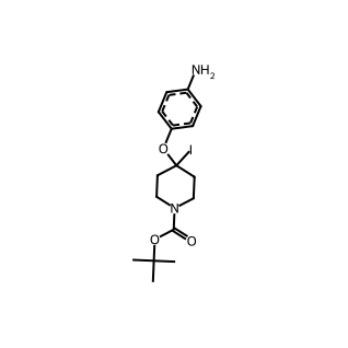 CC(C)(C)OC(=O)N1CCC(I)(Oc2ccc(N)cc2)CC1